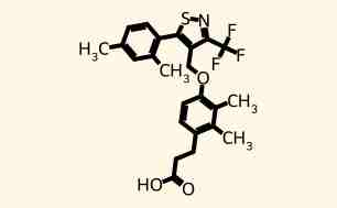 Cc1ccc(-c2snc(C(F)(F)F)c2COc2ccc(CCC(=O)O)c(C)c2C)c(C)c1